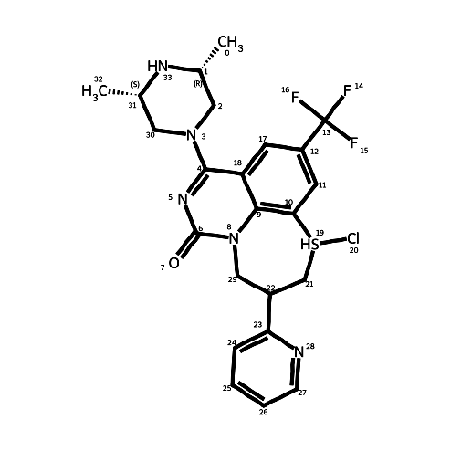 C[C@@H]1CN(c2nc(=O)n3c4c(cc(C(F)(F)F)cc24)[SH](Cl)CC(c2ccccn2)C3)C[C@H](C)N1